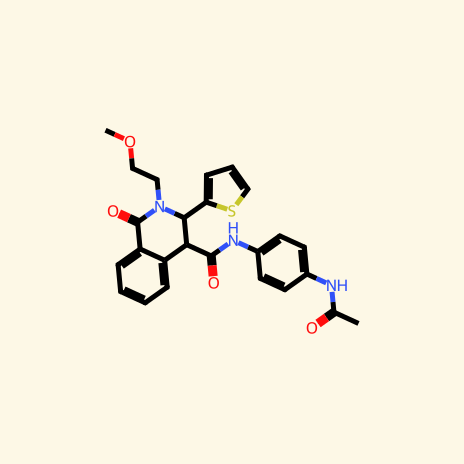 COCCN1C(=O)c2ccccc2C(C(=O)Nc2ccc(NC(C)=O)cc2)C1c1cccs1